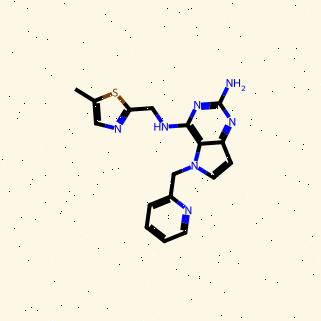 Cc1cnc(CNc2nc(N)nc3ccn(Cc4ccccn4)c23)s1